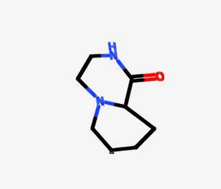 O=C1NCCN2C[C]CCC12